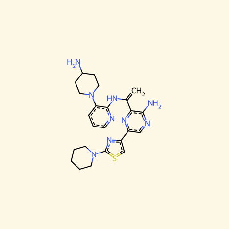 C=C(Nc1ncccc1N1CCC(N)CC1)c1nc(-c2csc(N3CCCCC3)n2)cnc1N